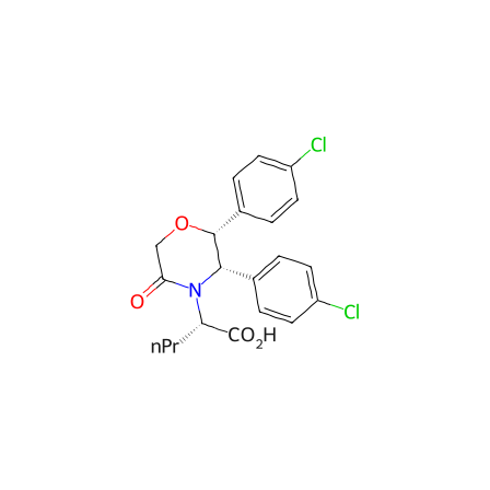 CCC[C@@H](C(=O)O)N1C(=O)CO[C@H](c2ccc(Cl)cc2)[C@@H]1c1ccc(Cl)cc1